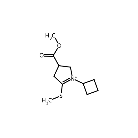 COC(=O)C1CC(SC)=[N+](C2CCC2)C1